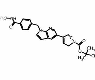 CC(C)(C)OC(=O)N1CC=C(c2cnc3c(ccn3Cc3ccc(C(=O)NO)cc3)c2)CC1